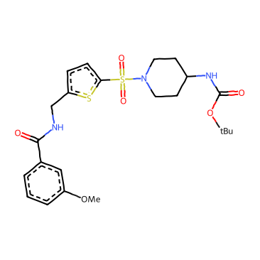 COc1cccc(C(=O)NCc2ccc(S(=O)(=O)N3CCC(NC(=O)OC(C)(C)C)CC3)s2)c1